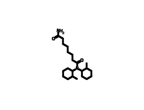 CC1CCCCC1N(C(=O)CCCCCCC(N)=O)C1CCCCC1C